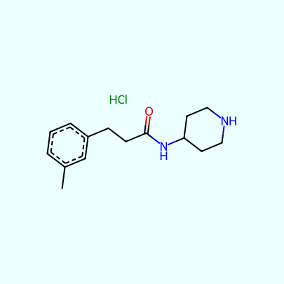 Cc1cccc(CCC(=O)NC2CCNCC2)c1.Cl